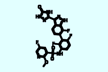 COc1ncc(F)cc1S(=O)(=O)Nc1ccc(F)c(-c2ccc3c(-c4n[nH]c(=O)[nH]4)n[nH]c3c2F)c1F